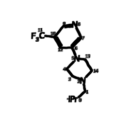 C[C](C)CN1CCN(c2cncc(C(F)(F)F)c2)CC1